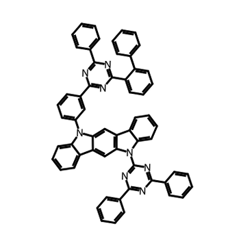 c1ccc(-c2nc(-c3cccc(-n4c5ccccc5c5cc6c(cc54)c4ccccc4n6-c4nc(-c5ccccc5)nc(-c5ccccc5)n4)c3)nc(-c3ccccc3-c3ccccc3)n2)cc1